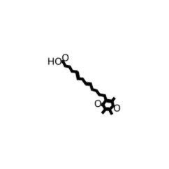 CC1=C(C)C(=O)C(CCCC/C=C/C/C=C/CCCC(=O)O)=C(C)C1=O